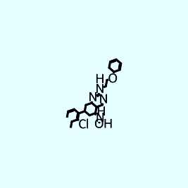 C/C=C\C(=C(\Cl)CC)C1C/C(=N\O)[C@@H]2C=NC(NCCOC3C=CC=CC3)=NC2C1